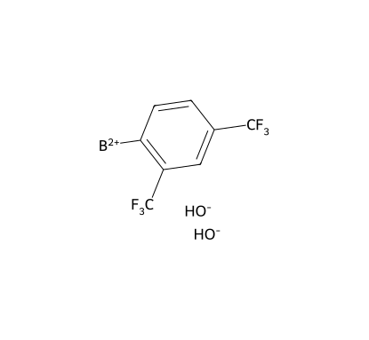 [B+2]c1ccc(C(F)(F)F)cc1C(F)(F)F.[OH-].[OH-]